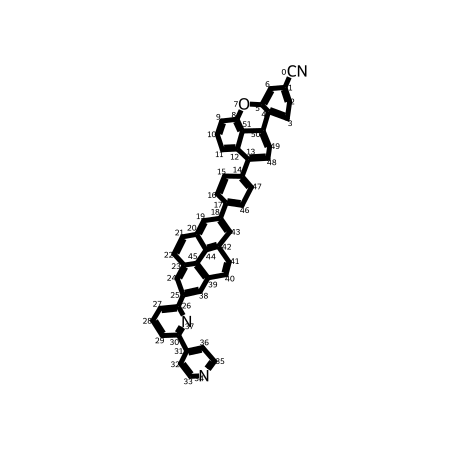 N#Cc1ccc2c(c1)Oc1cccc3c(-c4ccc(-c5cc6ccc7cc(-c8cccc(-c9ccncc9)n8)cc8ccc(c5)c6c78)cc4)ccc-2c13